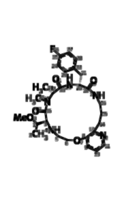 COC(C)[C@@H]1NCCOc2cccnc2CCCNC(=O)[C@@H](Cc2ccc(F)cc2)NC(=O)[C@@H](C)N(C)C1=O